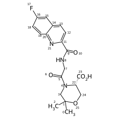 CC1(C)CN(C(=O)CNC(=O)c2ccc3cc(F)ccc3n2)[C@H](C(=O)O)CO1